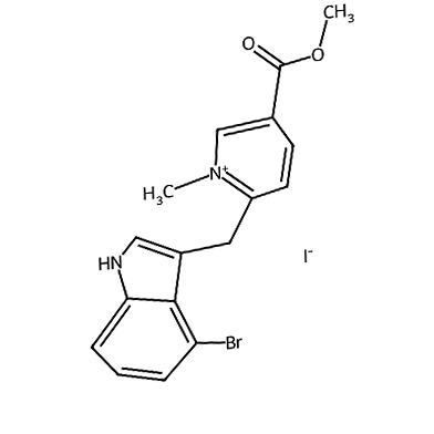 COC(=O)c1ccc(Cc2c[nH]c3cccc(Br)c23)[n+](C)c1.[I-]